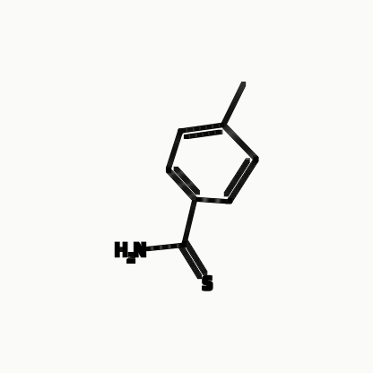 Cc1ccc(C(N)=S)cc1